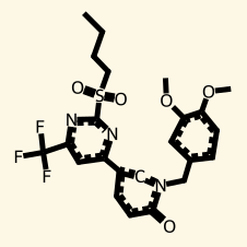 CCCCS(=O)(=O)c1nc(-c2ccc(=O)n(Cc3ccc(OC)c(OC)c3)c2)cc(C(F)(F)F)n1